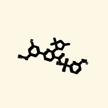 CC1CN(c2nc(-c3cc(F)cc(OC(C)C)c3)ccc2C(=O)NS(=O)(=O)c2cccc(N)n2)C(C)(C)C1